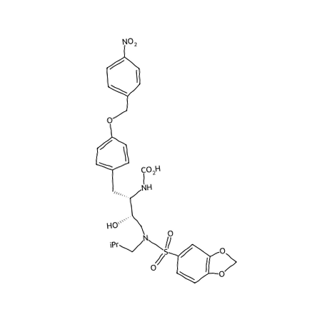 CC(C)CN(C[C@H](O)[C@H](Cc1ccc(OCc2ccc([N+](=O)[O-])cc2)cc1)NC(=O)O)S(=O)(=O)c1ccc2c(c1)OCO2